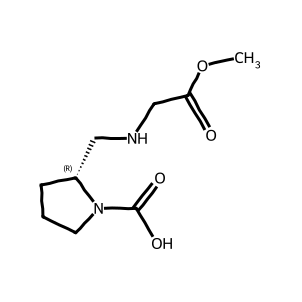 COC(=O)CNC[C@H]1CCCN1C(=O)O